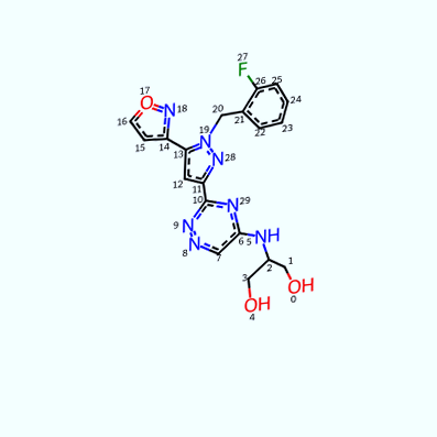 OCC(CO)Nc1cnnc(-c2cc(-c3ccon3)n(Cc3ccccc3F)n2)n1